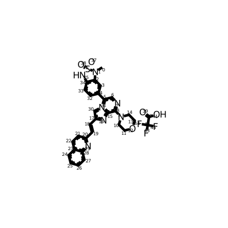 CN1c2cc(-c3cnc(N4CCOCC4)c4nc(/C=C/c5ccc6ccccc6n5)cn34)ccc2NS1(=O)=O.O=C(O)C(F)(F)F